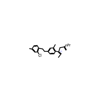 C=C(CCC)C/C(=C/C)c1ccc(CCc2ccc(C)cc2Cl)cc1C